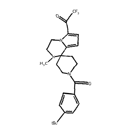 CN1CCn2c(C(=O)C(F)(F)F)ccc2C12CCN(C(=O)c1ccc(C(C)(C)C)cc1)CC2